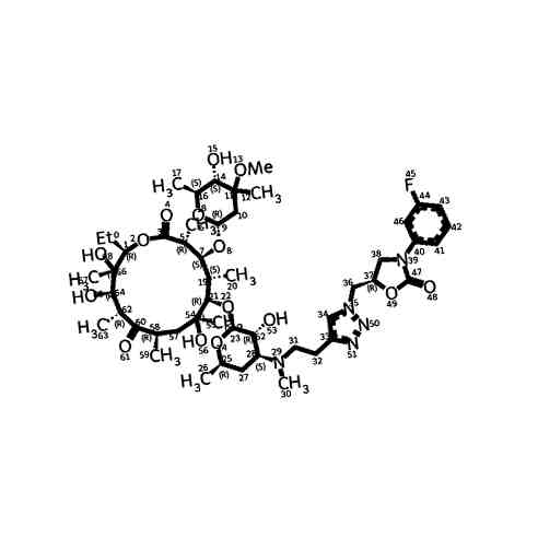 CC[C@H]1OC(=O)[C@H](C)[C@@H](O[C@H]2CC(C)(OC)[C@@H](O)[C@H](C)O2)[C@H](C)[C@@H](O[C@@H]2O[C@H](C)C[C@H](N(C)CCc3cn(C[C@H]4CN(c5cccc(F)c5)C(=O)O4)nn3)[C@H]2O)[C@](C)(O)C[C@@H](C)C(=O)[C@H](C)[C@@H](O)[C@]1(C)O